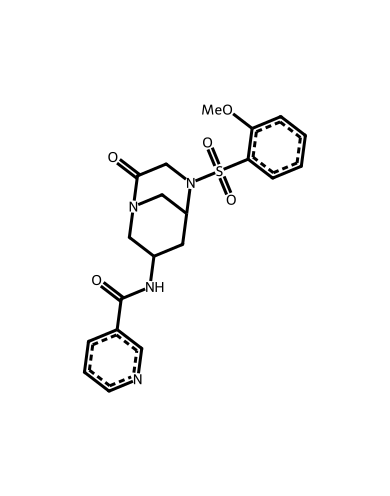 COc1ccccc1S(=O)(=O)N1CC(=O)N2CC(NC(=O)c3cccnc3)CC1C2